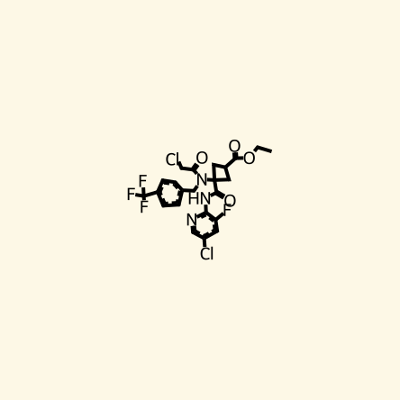 CCOC(=O)C1CC(C(=O)Nc2ncc(Cl)cc2F)(N(Cc2ccc(C(F)(F)F)cc2)C(=O)CCl)C1